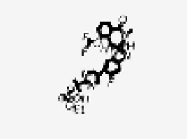 CCOP(=O)(O)OC(C)(C)c1ncc(-c2cc3c(cc2F)nc2n3[C@H]3C[C@H]2N(C)C(=O)c2cccc(OC(F)F)c23)cn1